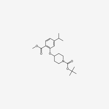 COC(=O)c1ccc(C(C)C)cc1OC1CCN(C(=O)OC(C)(C)C)CC1